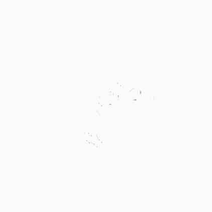 NC(C(=O)NC1C(=O)N2C(C(=O)O)=C(C(CC(=O)O)Sc3nnn[nH]3)CS[C@@H]12)c1ccc(O)c(Cl)c1